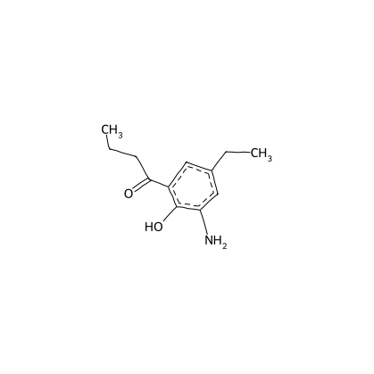 CCCC(=O)c1cc(CC)cc(N)c1O